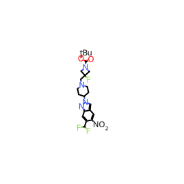 CC(C)(C)OC(=O)N1CC(F)(CN2CCC(n3cc4cc([N+](=O)[O-])c(C(F)F)cc4n3)CC2)C1